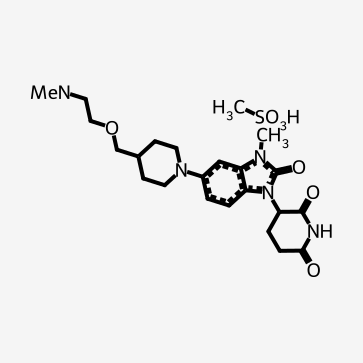 CNCCOCC1CCN(c2ccc3c(c2)n(C)c(=O)n3C2CCC(=O)NC2=O)CC1.CS(=O)(=O)O